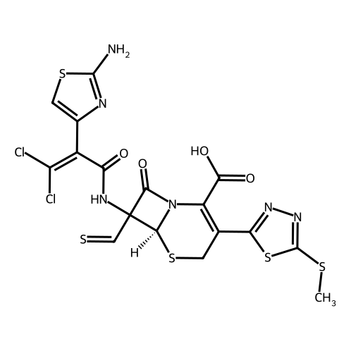 CSc1nnc(C2=C(C(=O)O)N3C(=O)C(C=S)(NC(=O)C(=C(Cl)Cl)c4csc(N)n4)[C@@H]3SC2)s1